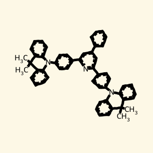 CC1(C)c2ccccc2N(c2ccc(-c3cc(-c4ccccc4)cc(-c4ccc(N5c6ccccc6C(C)(C)c6ccccc65)cc4)n3)cc2)c2ccccc21